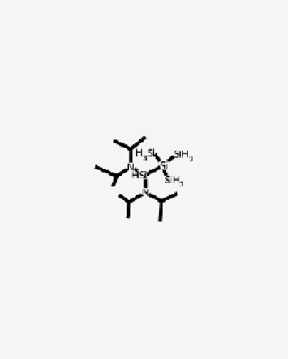 CC(C)N(C(C)C)[SiH](N(C(C)C)C(C)C)[Si]([SiH3])([SiH3])[SiH3]